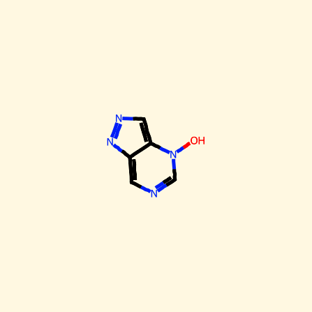 On1cncc2nncc1-2